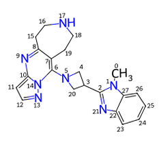 Cn1c(C2CN(c3c4c(nc5ccnn35)CCNCC4)C2)nc2ccccc21